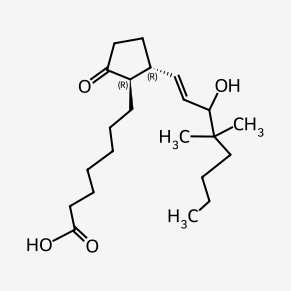 CCCCC(C)(C)C(O)C=C[C@H]1CCC(=O)[C@@H]1CCCCCCC(=O)O